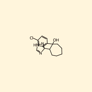 OC1(c2ccc(Cl)cc2)CCCCCC1c1nc[nH]n1